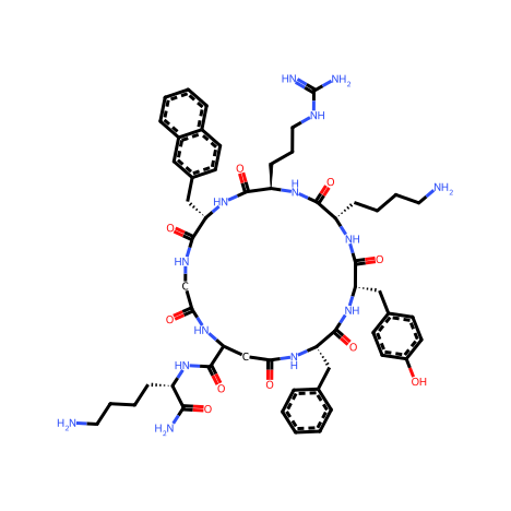 N=C(N)NCCC[C@H]1NC(=O)[C@H](CCCCN)NC(=O)[C@H](Cc2ccc(O)cc2)NC(=O)[C@H](Cc2ccccc2)NC(=O)CC(C(=O)N[C@@H](CCCCN)C(N)=O)NC(=O)CNC(=O)[C@H](Cc2ccc3ccccc3c2)NC1=O